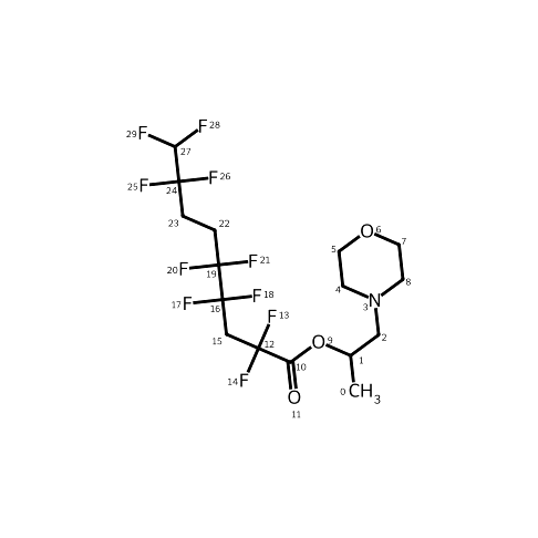 CC(CN1CCOCC1)OC(=O)C(F)(F)CC(F)(F)C(F)(F)CCC(F)(F)C(F)F